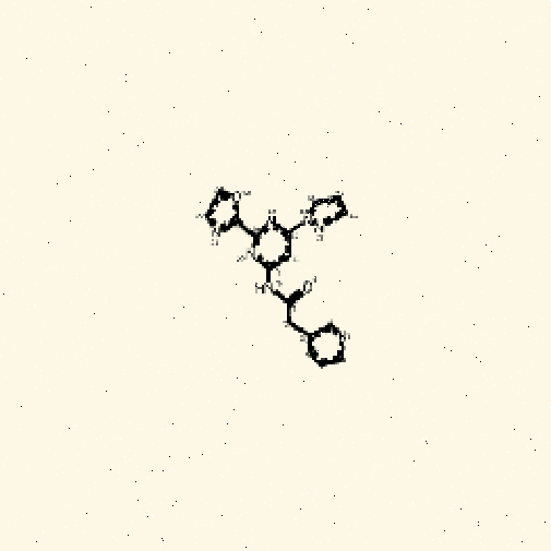 O=C(Cc1cccnc1)Nc1cc(-n2cccn2)nc(-c2ncco2)n1